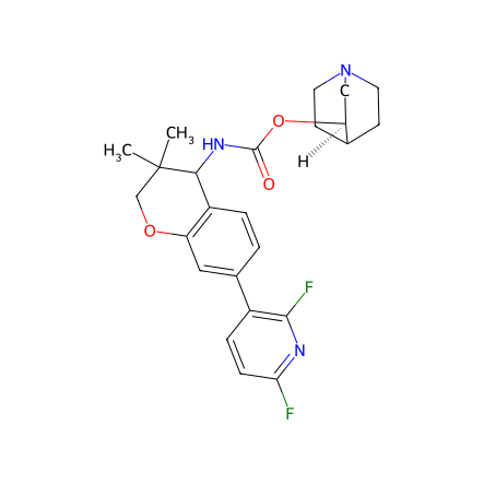 CC1(C)COc2cc(-c3ccc(F)nc3F)ccc2C1NC(=O)O[C@H]1CN2CCC1CC2